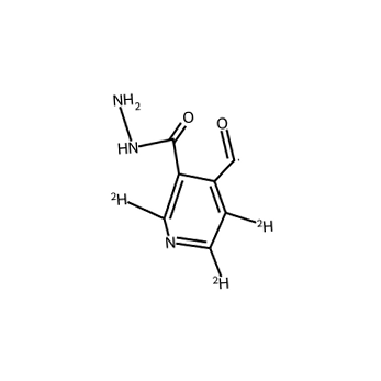 [2H]c1nc([2H])c(C(=O)NN)c([C]=O)c1[2H]